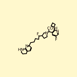 O=C(O)C(c1cc(F)cnc1C1CCC1)N1CCC(C(F)CCCCc2ccc3c(n2)NCCC3)C1